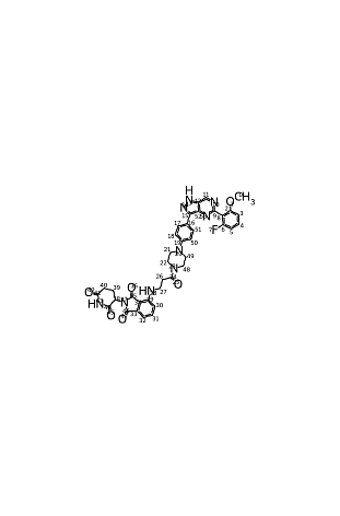 COc1cccc(F)c1-c1ncc2[nH]nc(-c3ccc(N4CCN(C(=O)CCNc5cccc6c5C(=O)N(C5CCC(=O)NC5=O)C6=O)CC4)cc3)c2n1